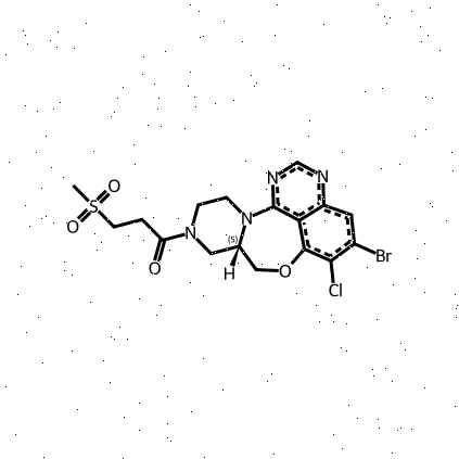 CS(=O)(=O)CCC(=O)N1CCN2c3ncnc4cc(Br)c(Cl)c(c34)OC[C@@H]2C1